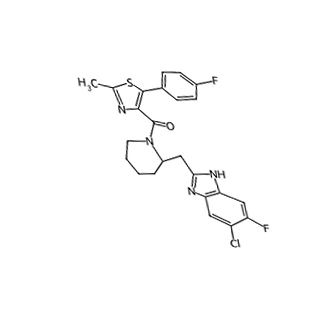 Cc1nc(C(=O)N2CCCCC2Cc2nc3cc(Cl)c(F)cc3[nH]2)c(-c2ccc(F)cc2)s1